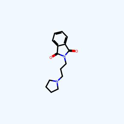 O=C1c2ccccc2C(=O)N1CCCN1CCCC1